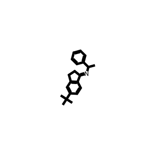 CC(N=C1CCc2cc(C(C)(C)C)ccc21)c1ccccc1